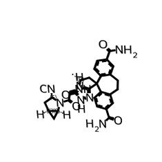 C[C@H](CC1(c2n[nH]c(=O)[nH]2)c2ccc(C(N)=O)cc2CCc2cc(C(N)=O)ccc21)NCC(=O)N1[C@H](C#N)C[C@@H]2C[C@@H]21